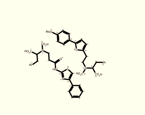 CC(C)CC(C(=O)O)N(CCC(=O)Nc1nc(-c2ccccc2)cs1)C(=O)O.COc1ccc(-c2ccc(CCN(C(=O)O)C(CC(C)C)C(=O)O)o2)cc1